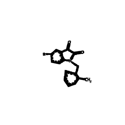 Cc1ccccc1CN1C(=O)C(=O)c2cc(Br)ccc21